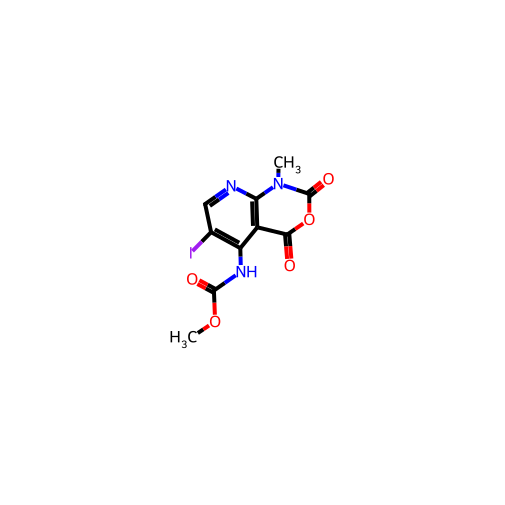 COC(=O)Nc1c(I)cnc2c1c(=O)oc(=O)n2C